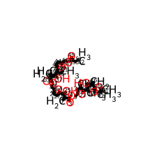 C=C(C(=O)OCc1cc(C)c(C(C)C(O)C(=C)C(=O)OC(C)C)o1)C(O)c1ccc(COC(=O)C(=C)C(O)C(C)(CC)c2ccc(COC(=O)CCC)o2)o1